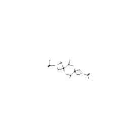 CC(C)(C)C(=O)N1CC2(C1)O[C@@](O)(C(F)(F)F)C1(CN(C(=O)C(C)(C)C)C1)O[C@@]2(O)C(F)(F)F